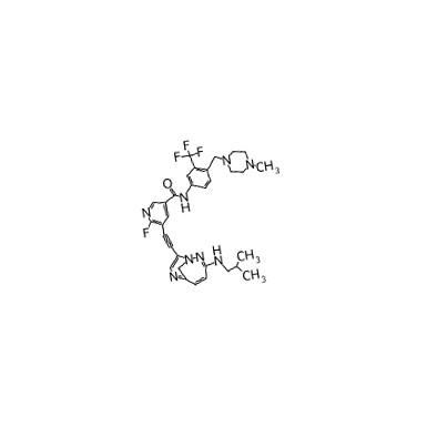 CC(C)CNC1=NN2CC(=NC=C2C#Cc2cc(C(=O)Nc3ccc(CN4CCN(C)CC4)c(C(F)(F)F)c3)cnc2F)C=C1